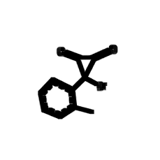 Cc1ccccc1C1(Br)C(=O)C1=O